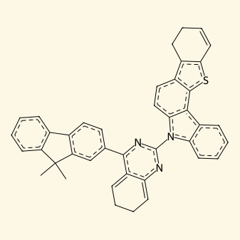 CC1(C)c2ccccc2-c2ccc(-c3nc(-n4c5ccccc5c5c6sc7c(c6ccc54)CCC=C7)nc4c3=CCCC=4)cc21